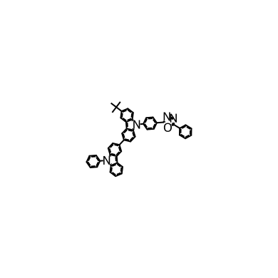 CC(C)(C)c1ccc2c(c1)c1cc(-c3ccc4c(c3)c3ccccc3n4-c3ccccc3)ccc1n2-c1ccc(-c2nnc(-c3ccccc3)o2)cc1